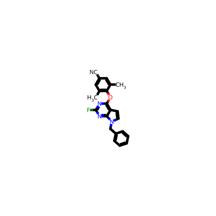 Cc1cc(C#N)cc(C)c1Oc1nc(F)nc2c1ccn2Cc1ccccc1